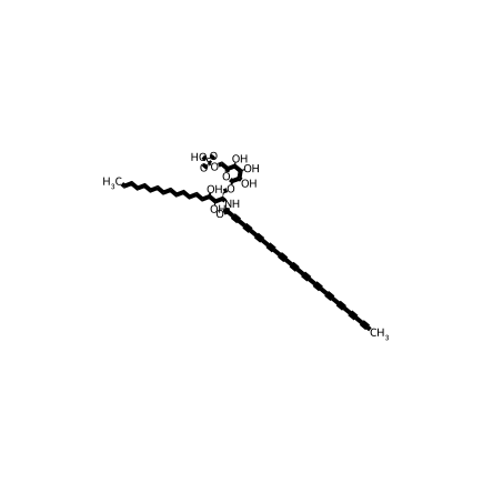 CC#CC#CC#CC#CC#CC#CC#CC#CC#CC#CC#CC#CC(=O)N[C@@H](CO[C@H]1OC(COS(=O)(=O)O)[C@H](O)[C@H](O)C1O)[C@H](O)[C@H](O)CCCCCCCCCCCCCC